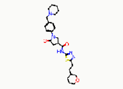 O=C(Nc1nnc(CCC2CCCOC2)s1)C1CC(=O)N(c2ccc(CN3CCCCC3)cc2)C1